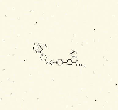 COC(=O)c1ccc(C2=CCN(C3CC(OC4CCN(C(=O)OC(C)(C)C)CC4)C3)CC2)cc1C(=O)OC